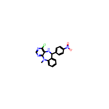 CN1c2ccccc2C(c2ccc([N+](=O)[O-])cc2)Nc2c(Cl)ncnc21